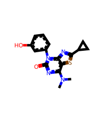 CN(C)c1nc(=O)n(-c2cccc(O)c2)c2nc(C3CC3)sc12